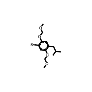 COCOc1cc(CC(C)C)c(OCOC)cc1Br